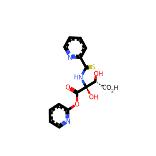 O=C(O)[C@@H](O)[C@@](O)(NC(=S)c1ccccn1)C(=O)Oc1ccccn1